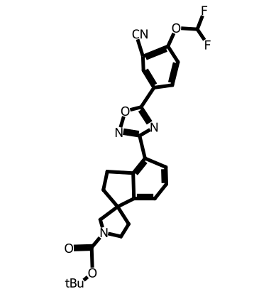 CC(C)(C)OC(=O)N1CCC2(CCc3c(-c4noc(-c5ccc(OC(F)F)c(C#N)c5)n4)cccc32)C1